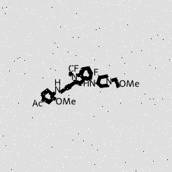 COCCN1CC[C@H](Nc2cccc3c2cc(C#CCNc2ccc(C(C)=O)cc2OC)n3CC(F)(F)F)[C@H](F)C1